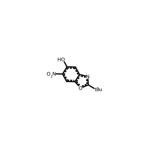 CC(C)(C)c1nc2cc(O)c([N+](=O)[O-])cc2o1